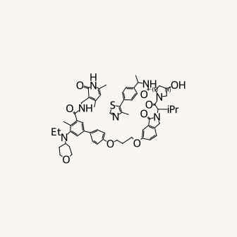 CCN(c1cc(-c2ccc(OCCCOc3ccc4c(c3)C(=O)N(C(C(=O)N3C[C@H](O)C[C@H]3C(=O)NC(C)c3ccc(-c5scnc5C)cc3)C(C)C)C4)cc2)cc(C(=O)NCc2c(C)cc(C)[nH]c2=O)c1C)C1CCOCC1